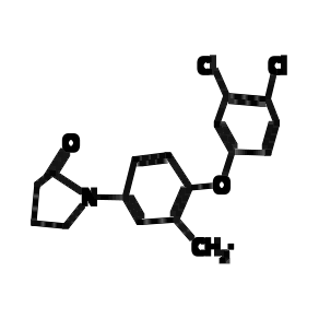 [CH2]c1cc(N2CCCC2=O)ccc1Oc1ccc(Cl)c(Cl)c1